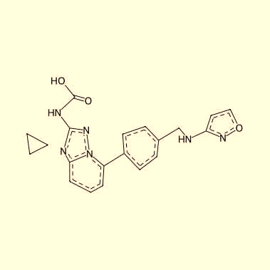 C1CC1.O=C(O)Nc1nc2cccc(-c3ccc(CNc4ccon4)cc3)n2n1